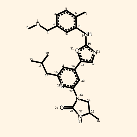 COCc1ccc(C)c(Nc2ncc(-c3cc(CC(C)C)nc(N4CC(C)NC4=O)c3)o2)c1